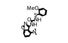 COc1ccccc1SNC(=O)Nc1noc2cccc(N(C)C)c12